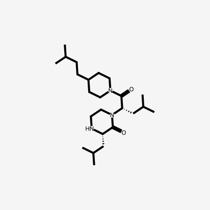 CC(C)CCC1CCN(C(=O)[C@H](CC(C)C)N2CCN[C@@H](CC(C)C)C2=O)CC1